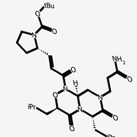 CC(C)C[C@H]1ON(C(=O)/C=C/[C@@H]2CCCN2C(=O)OC(C)(C)C)[C@H]2CN(CCC(N)=O)C(=O)[C@H](CC(C)C)N2C1=O